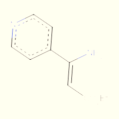 CCOC(=O)C=C(N)c1ccncc1